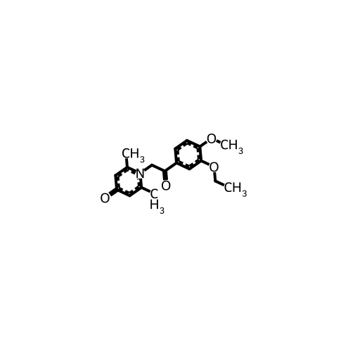 CCOc1cc(C(=O)Cn2c(C)cc(=O)cc2C)ccc1OC